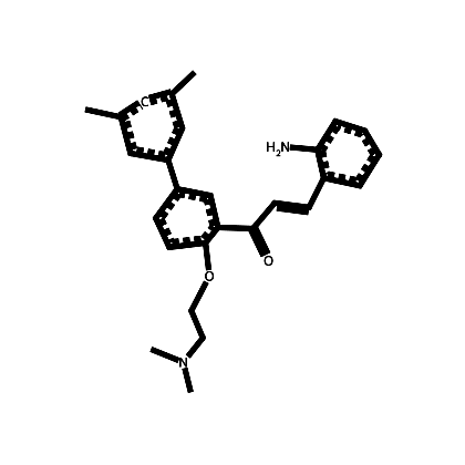 Cc1cc(C)cc(-c2ccc(OCCN(C)C)c(C(=O)C=Cc3ccccc3N)c2)c1